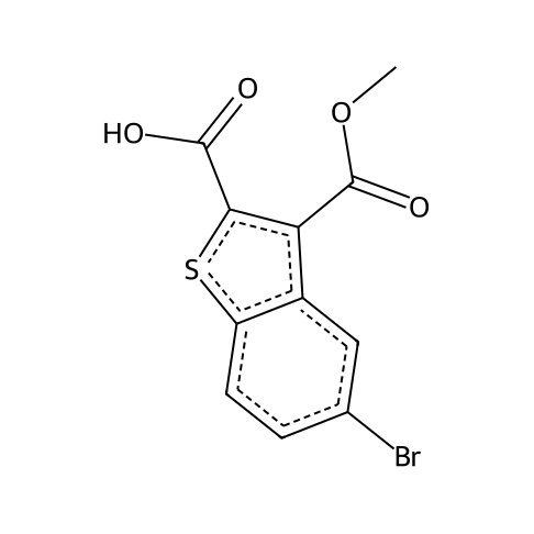 COC(=O)c1c(C(=O)O)sc2ccc(Br)cc12